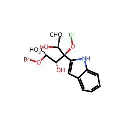 O=C[C@H](O)[C@](OCl)(c1cc2ccccc2[nH]1)[C@H](O)[C@H](OBr)C(=O)O